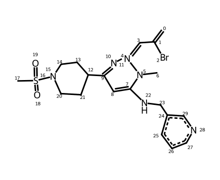 C=C(Br)/C=N\N(C)/C(=C\C(=N/C)C1CCN(S(C)(=O)=O)CC1)NCc1cccnc1